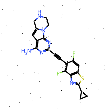 Nc1nc(C#Cc2c(F)cc3sc(C4CC4)nc3c2F)nc2c1cc1n2CCNC1